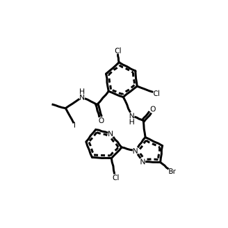 CC(I)NC(=O)c1cc(Cl)cc(Cl)c1NC(=O)c1cc(Br)nn1-c1ncccc1Cl